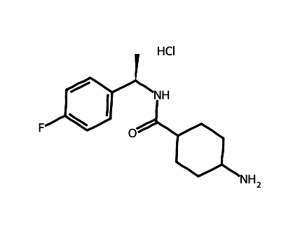 C[C@@H](NC(=O)C1CCC(N)CC1)c1ccc(F)cc1.Cl